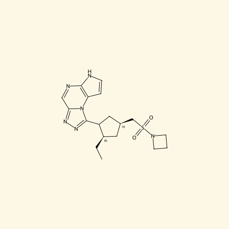 CC[C@@H]1C[C@H](CS(=O)(=O)N2CCC2)CC1c1nnc2cnc3[nH]ccc3n12